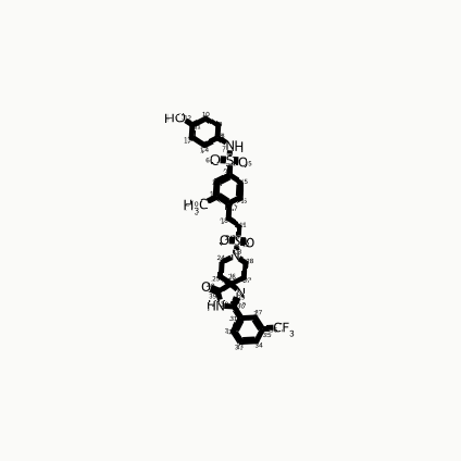 Cc1cc(S(=O)(=O)NC2CCC(O)CC2)ccc1CCS(=O)(=O)N1CCC2(CC1)N=C(c1cccc(C(F)(F)F)c1)NC2=O